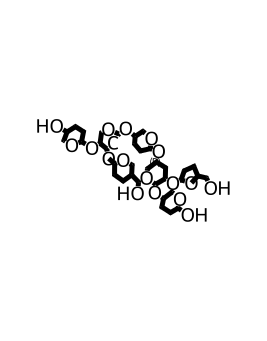 OCC1CCC(OC2CC(OC3CCC(O[C@H]4COC(OC5CCC(O)OC5)C(OC5CCC(CO)O5)C4)OC3)OCC2OC2CCC(O)CO2)OC1